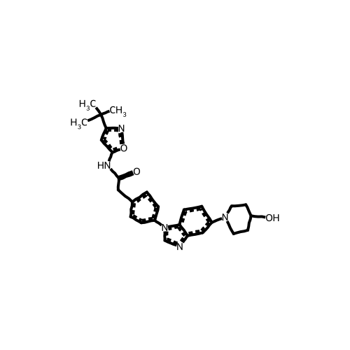 CC(C)(C)c1cc(NC(=O)Cc2ccc(-n3cnc4cc(N5CCC(O)CC5)ccc43)cc2)on1